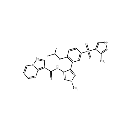 Cc1n[nH]cc1S(=O)(=O)c1ccc(OC(F)F)c(-c2nn(C)cc2NC(=O)c2cnn3cccnc23)c1